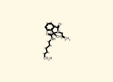 C=CCN1C(=O)c2ccccc2C1(C)C(=O)NCCCCCC(=O)O